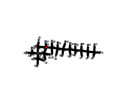 FC(F)(F)C(F)(F)C(F)(F)C(F)(F)C(F)(F)C(F)(F)C(F)(F)C(F)(F)C(F)(F)C(F)(F)[Si](C(F)(F)F)(C(F)(F)F)C(F)(F)F